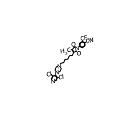 CC1=C(CCCCCCN2CCN(c3c(Cl)cncc3Cl)CC2)C(=O)N(c2ccc(C#N)c(C(F)(F)F)c2)C1=O